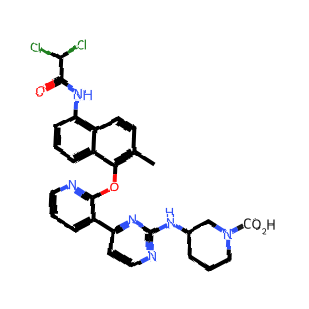 Cc1ccc2c(NC(=O)C(Cl)Cl)cccc2c1Oc1ncccc1-c1ccnc(NC2CCCN(C(=O)O)C2)n1